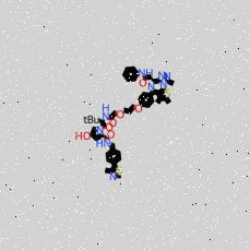 Cc1ncsc1-c1ccc(CNC(=O)[C@@H]2C[C@@H](O)CN2C(=O)[C@@H](NC(=O)COCCCOc2ccc(C3=N[C@@H](CC(=O)Nc4ccccc4)c4nnc(C)n4-c4sc(C)c(C)c43)cc2)C(C)(C)C)cc1